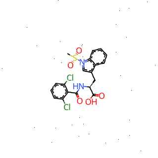 CS(=O)(=O)n1cc(C[C@H](NC(=O)c2c(Cl)cccc2Cl)C(=O)O)c2ccccc21